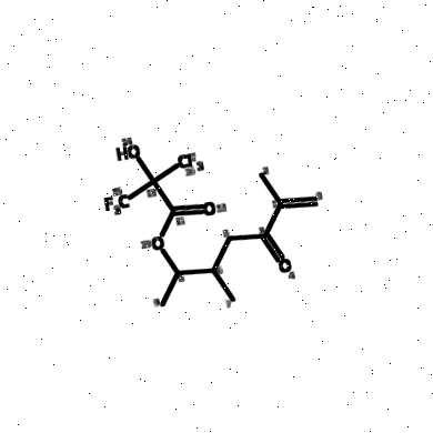 C=C(C)C(=O)CC(C)C(C)OC(=O)C(O)(C(F)(F)F)C(F)(F)F